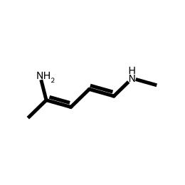 CN/C=C/C=C(/C)N